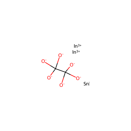 [In+3].[In+3].[O-]C([O-])([O-])C([O-])([O-])[O-].[Sn]